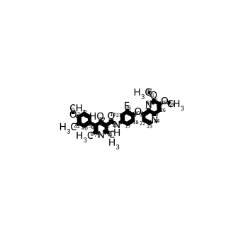 COc1ccc(-c2c(C)nc(C)c(C(=O)Nc3ccc(Oc4ccnc5cc(OC)c(OC)nc45)c(F)c3)c2O)cc1C